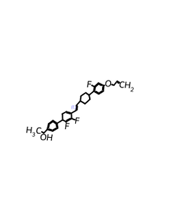 C=CCOc1ccc(C2CCC(/C=C/C3=CCC(c4ccc(C(C)O)cc4)C(F)=C3F)CC2)c(F)c1